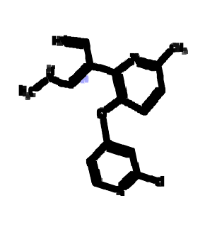 CN/C=C(\C=N)c1nc(C)ccc1Oc1ccnc(Cl)c1